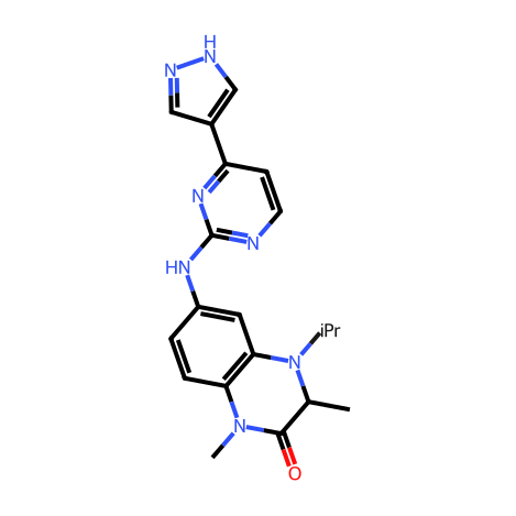 CC(C)N1c2cc(Nc3nccc(-c4cn[nH]c4)n3)ccc2N(C)C(=O)C1C